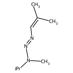 CC(C)=CN=NN(C)C(C)C